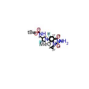 COc1c(N2CC(F)C(CNC(=O)OC(C)(C)C)C2)c(F)cc2c(=O)n(N)c(=O)n(C3CC3)c12